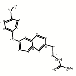 CCOc1ccc(Oc2ccc3cc(CCNC(=O)OC)ccc3c2)cc1